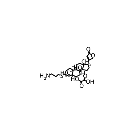 C[C@]12CC[C@H](SCCCN)C[C@H]1CC[C@@H]1[C@@H]2CC[C@]2(C)[C@@H](C3=CC(=O)OC3)CC[C@]12O.O=C(O)C(=O)O